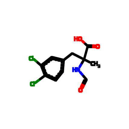 CC(Cc1ccc(Cl)c(Cl)c1)(NC=O)C(=O)O